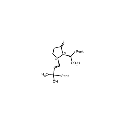 CCCCCC(C(=O)O)[C@@H]1C(=O)CC[C@@H]1C=CC(C)(O)CCCCC